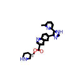 Cc1cccc(-c2[nH]cnc2-c2ccc3ncc(C(=O)OC[C@H]4CCCNC4)cc3c2)n1